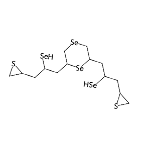 [SeH]C(CC1CS1)CC1C[Se]CC(CC([SeH])CC2CS2)[Se]1